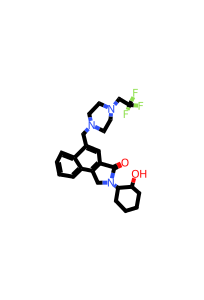 O=C1c2cc(CN3CCN(CC(F)(F)F)CC3)c3ccccc3c2CN1C1CCCCC1O